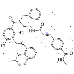 CNC(=O)c1ccc(/C=C/C(=O)NCCN(Cc2ccccc2)C(=O)c2ccc(Cl)c(COc3cccc4ccc(C)nc34)c2Cl)cc1